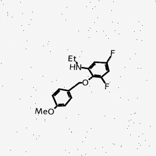 CCNc1cc(F)cc(F)c1OCc1ccc(OC)cc1